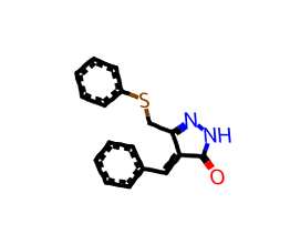 O=C1NN=C(CSc2ccccc2)C1=Cc1ccccc1